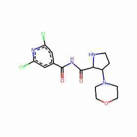 O=C(NC(=O)C1NCCC1N1CCOCC1)c1cc(Cl)nc(Cl)c1